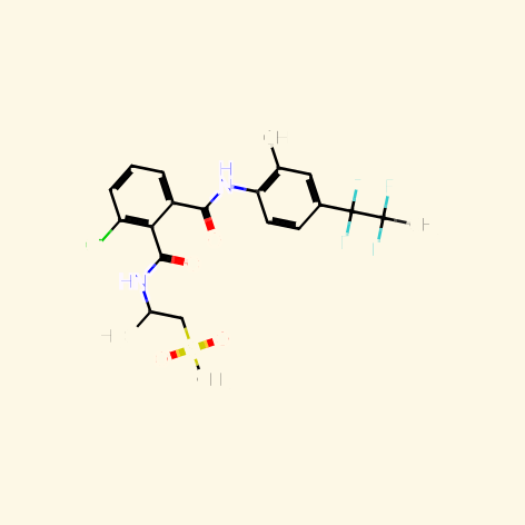 Cc1cc(C(F)(F)C(F)(F)C(F)(F)F)ccc1NC(=O)c1cccc(Cl)c1C(=O)NC(C)CS(C)(=O)=O